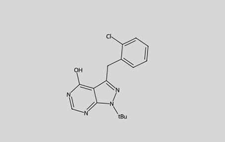 CC(C)(C)n1nc(Cc2ccccc2Cl)c2c(O)ncnc21